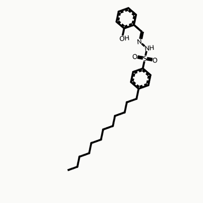 CCCCCCCCCCCCc1ccc(S(=O)(=O)NN=Cc2ccccc2O)cc1